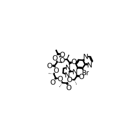 CO[C@@H](C)C(=O)N1CCN=C1N(C(=O)[C@H](C)OC(=O)[C@H](C)OC(=O)[C@H](C)OC(=O)[C@H](C)OC(C)=O)c1ccc2nccnc2c1Br